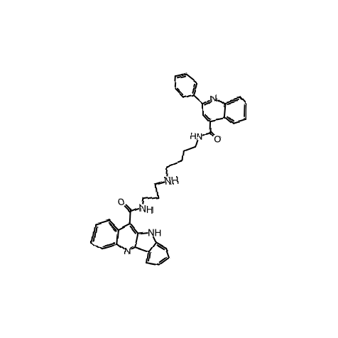 O=C(NCCCCNCCCNC(=O)c1c2ccccc2nc2c1[nH]c1ccccc12)c1cc(-c2ccccc2)nc2ccccc12